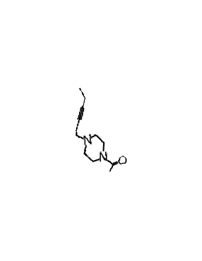 CCC#CCN1CCN(C(C)=O)CC1